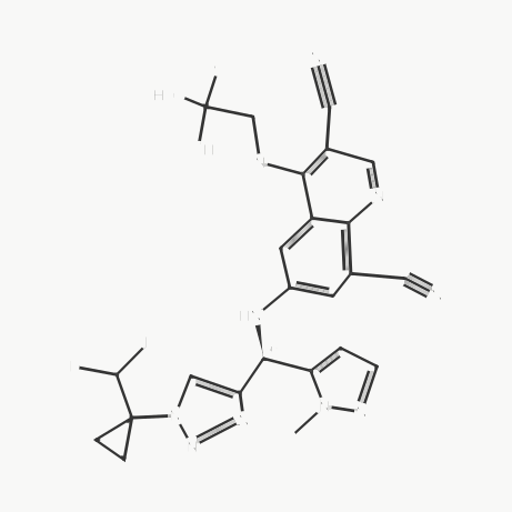 Cn1nccc1[C@H](Nc1cc(C#N)c2ncc(C#N)c(NCC(C)(C)C)c2c1)c1cn(C2(C(F)F)CC2)nn1